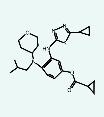 CC(C)CN(c1ccc(OC(=O)C2CC2)cc1Nc1nnc(C2CC2)s1)C1CCOCC1